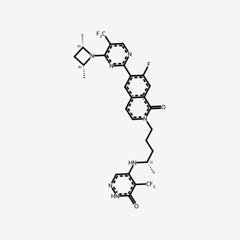 C[C@@H]1C[C@H](C)N1c1nc(-c2cc3ccn(CCC[C@H](C)Nc4cn[nH]c(=O)c4C(F)(F)F)c(=O)c3cc2F)ncc1C(F)(F)F